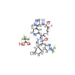 C[C@@H]1CCC[C@H](n2cnc(-c3cc(Cl)ccc3-c3cnn(C(F)F)c3)cc2=O)c2cc(ccn2)-c2c(cnn2C)NC1=O.O=C(O)C(F)(F)F